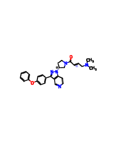 CN(C)C/C=C/C(=O)N1CC[C@@H](n2nc(-c3ccc(Oc4ccccc4)cc3)c3cnccc32)C1